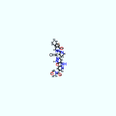 Cn1nc(-c2ccnc(-n3ncc4c5c(sc4c3=O)CCCC5)c2C=O)cc(Nc2ccc(C(=O)N3CCOCC3)cn2)c1=O